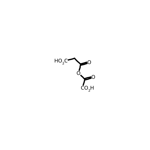 O=C(O)CC(=O)OC(=O)C(=O)O